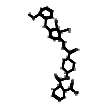 COc1ccccc1Sc1ccc(/C=C/C(=O)N2CCC(NC(=O)C3CC=CCC3C(=O)O)CC2)c(Cl)c1Cl